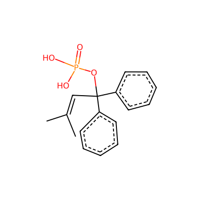 CC(C)=CC(OP(=O)(O)O)(c1ccccc1)c1ccccc1